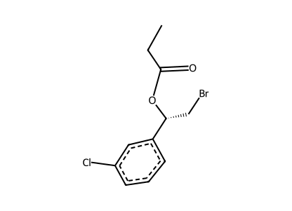 CCC(=O)O[C@H](CBr)c1cccc(Cl)c1